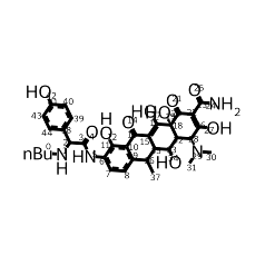 CCCCNC(C(=O)Nc1ccc2c(c1O)C(=O)C1=C(O)[C@]3(O)C(=O)C(C(N)=O)=C(O)[C@@H](N(C)C)C3C(O)C1C2C)c1ccc(O)cc1